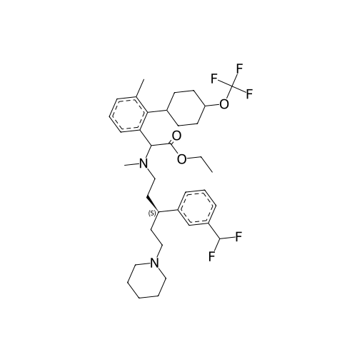 CCOC(=O)C(c1cccc(C)c1C1CCC(OC(F)(F)F)CC1)N(C)CC[C@H](CCN1CCCCC1)c1cccc(C(F)F)c1